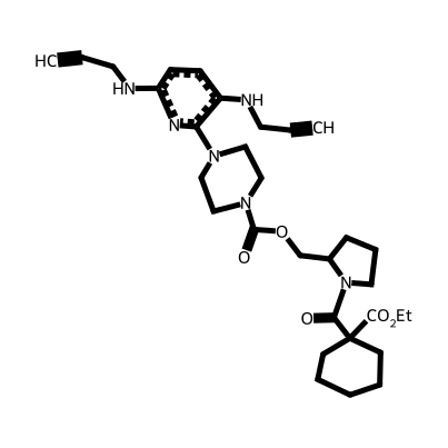 C#CCNc1ccc(NCC#C)c(N2CCN(C(=O)OCC3CCCN3C(=O)C3(C(=O)OCC)CCCCC3)CC2)n1